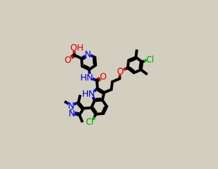 Cc1cc(OCCCc2c(C(=O)Nc3ccnc(C(=O)O)c3)[nH]c3c(-c4c(C)nn(C)c4C)c(Cl)ccc23)cc(C)c1Cl